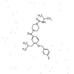 CC(C)Cc1cc(C(=O)N2CCN(C(=O)NC(C)C)CC2)ccc1OCc1ccc(F)cc1